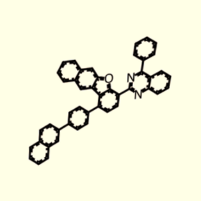 c1ccc(-c2nc(-c3ccc(-c4ccc(-c5ccc6ccccc6c5)cc4)c4c3oc3cc5ccccc5cc34)nc3ccccc23)cc1